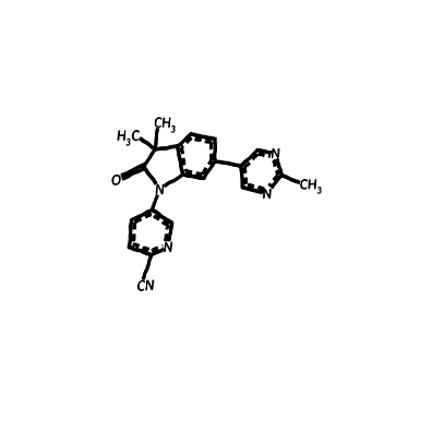 Cc1ncc(-c2ccc3c(c2)N(c2ccc(C#N)nc2)C(=O)C3(C)C)cn1